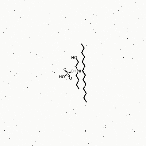 CCCCCCCCCCCCCC.CCCCNCCO.O=S(=O)(O)O